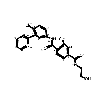 O=C(NCCO)c1ccc(C(=O)Nc2ccc(Cl)c(-c3ccccn3)c2)c(Cl)c1